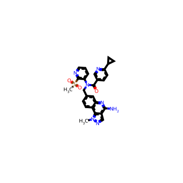 Cn1ncc2c(N)nc3cc(CN(C(=O)c4ccc(C5CC5)nc4)c4cccnc4S(C)(=O)=O)ccc3c21